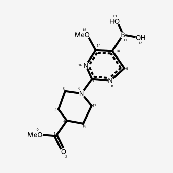 COC(=O)C1CCN(c2ncc(B(O)O)c(OC)n2)CC1